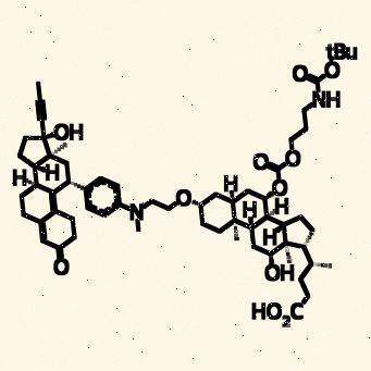 CC#C[C@@]1(O)CC[C@H]2[C@@H]3CCC4=CC(=O)CCC4=C3[C@@H](c3ccc(N(C)CCO[C@H]4CC[C@@]5(C)[C@@H](C4)C[C@@H](OC(=O)OCCCNC(=O)OC(C)(C)C)[C@@H]4[C@@H]5C[C@H](O)[C@]5(C)[C@@H]([C@H](C)CCC(=O)O)CC[C@@H]45)cc3)C[C@@]21C